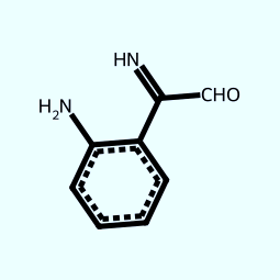 N=C(C=O)c1ccccc1N